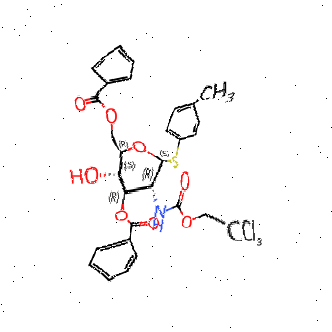 Cc1ccc(S[C@@H]2O[C@H](COC(=O)c3ccccc3)[C@@H](O)[C@H](OC(=O)c3ccccc3)[C@H]2NC(=O)OCC(Cl)(Cl)Cl)cc1